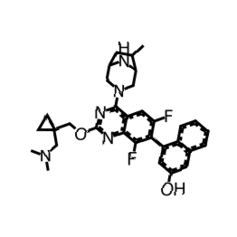 CC1CC2CN(c3nc(OCC4(CN(C)C)CC4)nc4c(F)c(-c5cc(O)cc6ccccc56)c(F)cc34)CC1N2